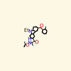 C=C(C)ONC(C)C(=O)c1ccc2c(c1)c1cc(C(=O)c3ccccc3C)ccc1n2CC